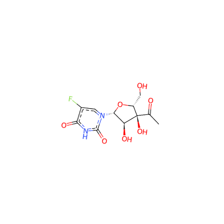 CC(=O)[C@@]1(O)[C@@H](CO)O[C@@H](n2cc(F)c(=O)[nH]c2=O)[C@@H]1O